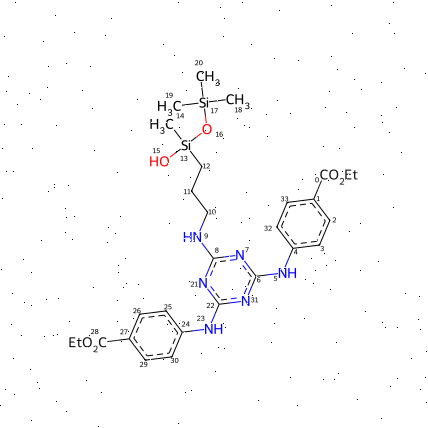 CCOC(=O)c1ccc(Nc2nc(NCCC[Si](C)(O)O[Si](C)(C)C)nc(Nc3ccc(C(=O)OCC)cc3)n2)cc1